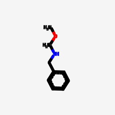 [SiH3]O[SiH2]NCc1ccccc1